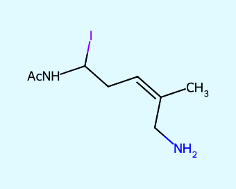 CC(=O)NC(I)C/C=C(/C)CN